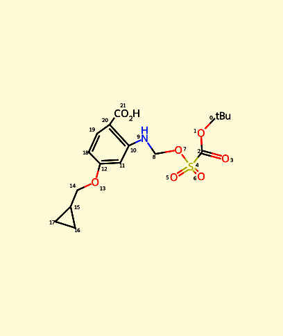 CC(C)(C)OC(=O)S(=O)(=O)OCNc1cc(OCC2CC2)ccc1C(=O)O